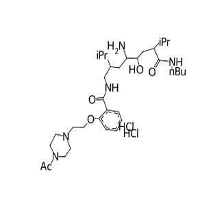 CCCCNC(=O)C(CC(O)C(N)CC(CNC(=O)c1ccccc1OCCN1CCN(C(C)=O)CC1)C(C)C)C(C)C.Cl.Cl